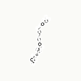 O=C1CC[C@@H](c2ccc(OCC(=O)N3CCC(CCN4CCN(c5ccc(Nc6ncnc7c6ncn7C6CC(NC(=O)c7cccc(C(F)(F)F)n7)C6)cc5)CC4)CC3)cc2)C(=O)N1